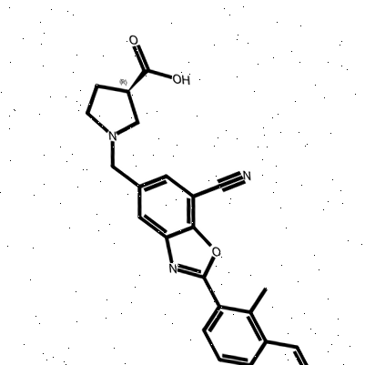 C=Cc1cccc(-c2nc3cc(CN4CC[C@@H](C(=O)O)C4)cc(C#N)c3o2)c1C